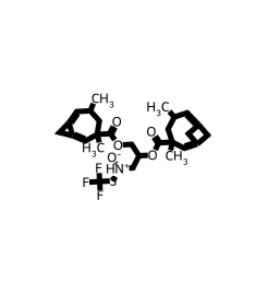 CC1C=C2CC2=CC(C)(C(=O)OCC(C[NH+]([O-])SC(F)(F)F)OC(=O)C2(C)C=C3CC(=CC(C)C2)C3)C1